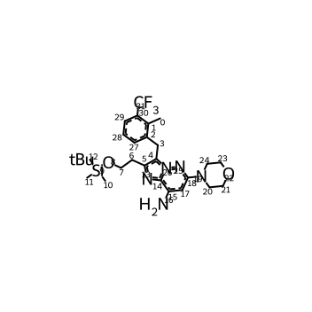 Cc1c(Cc2c(CCO[Si](C)(C)C(C)(C)C)nc3c(N)cc(N4CCOCC4)nn23)cccc1C(F)(F)F